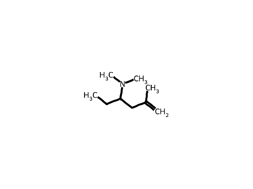 C=C(C)C[C](CC)N(C)C